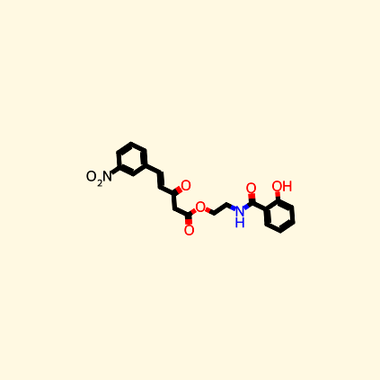 O=C(C=Cc1cccc([N+](=O)[O-])c1)CC(=O)OCCNC(=O)c1ccccc1O